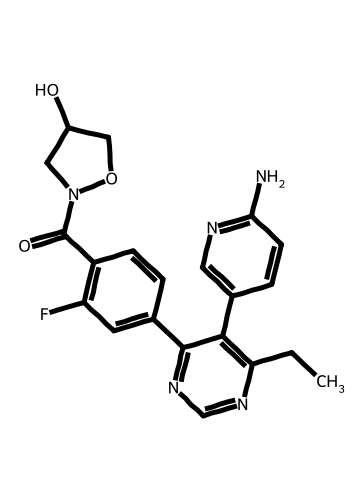 CCc1ncnc(-c2ccc(C(=O)N3CC(O)CO3)c(F)c2)c1-c1ccc(N)nc1